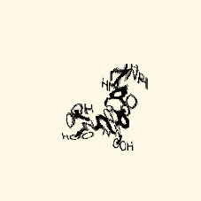 N=C(N)Nc1ccc2c(c1)CCCOc1c(cccc1C(=O)N(CC(=O)O)Cc1cccc(CN(CC(=O)O)CC(=O)O)n1)OC2=O